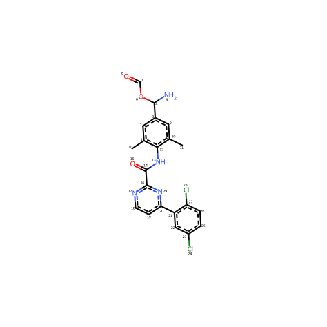 Cc1cc(C(N)OC=O)cc(C)c1NC(=O)c1nccc(-c2cc(Cl)ccc2Cl)n1